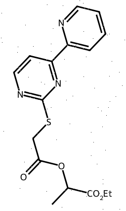 CCOC(=O)C(C)OC(=O)CSc1nccc(-c2ccccn2)n1